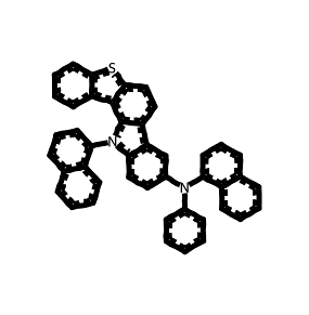 c1ccc(N(c2ccc3c(c2)c2ccc4sc5ccccc5c4c2n3-c2cccc3ccccc23)c2cccc3ccccc23)cc1